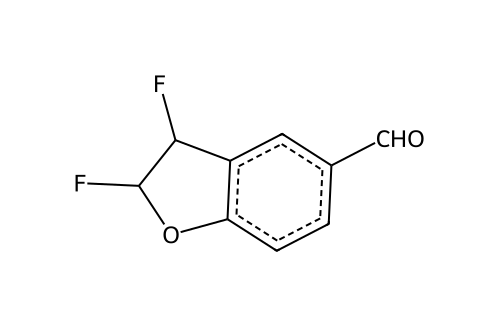 O=Cc1ccc2c(c1)C(F)C(F)O2